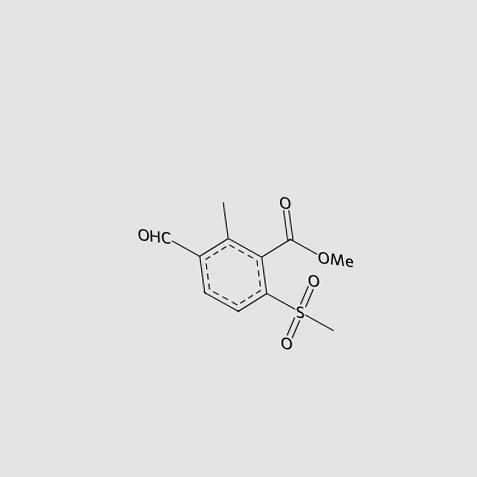 COC(=O)c1c(S(C)(=O)=O)ccc(C=O)c1C